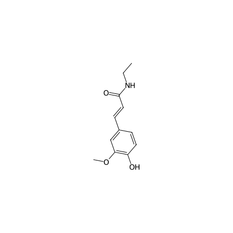 CCNC(=O)C=Cc1ccc(O)c(OC)c1